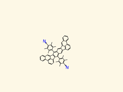 Cc1c(C)c(-c2c3cc4c(cc3c(-c3c(C)c(C)c(C#N)c(C)c3C)c3c5cc6ccccc6c6cccc(c23)c65)c2cc3ccccc3c3cccc4c32)c(C)c(C)c1C#N